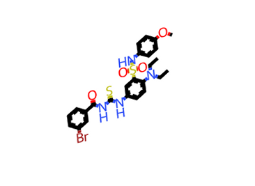 CCN(CC)c1ccc(NC(=S)NC(=O)c2cccc(Br)c2)cc1S(=O)(=O)Nc1ccc(OC)cc1